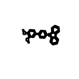 COc1ccc(-c2ccc(-n3c4ccccc4c4ccccc43)cc2)cc1OC